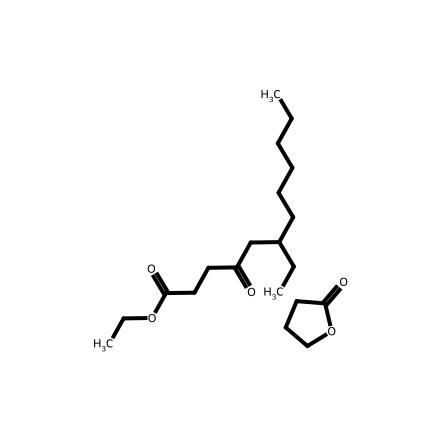 CCCCCCC(CC)CC(=O)CCC(=O)OCC.O=C1CCCO1